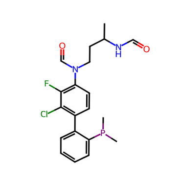 CC(CCN(C=O)c1ccc(-c2ccccc2P(C)C)c(Cl)c1F)NC=O